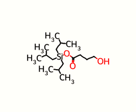 CC(C)C[Si](CC(C)C)(CC(C)C)OC(=O)CCCO